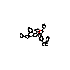 c1ccc(-c2ccc(N(c3ccc(-c4cccc5sc6ccccc6c45)cc3)c3ccc(-c4ccc(-c5ccccc5)cc4-c4ccccc4)cc3-c3ccccc3)cc2)cc1